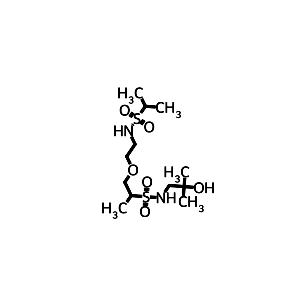 CC(C)S(=O)(=O)NCCOCC(C)S(=O)(=O)NCC(C)(C)O